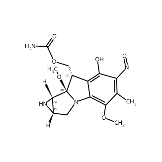 COc1c(C)c(N=O)c(O)c2c1N1C[C@@H]3N[C@@H]3[C@]1(OC)[C@@H]2COC(N)=O